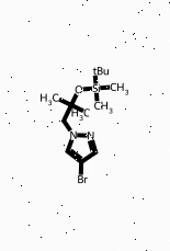 CC(C)(Cn1cc(Br)cn1)O[Si](C)(C)C(C)(C)C